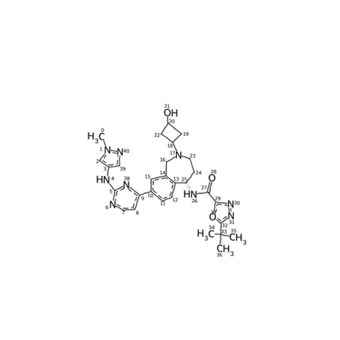 Cn1cc(Nc2nccc(-c3ccc4c(c3)CN(C3CC(O)C3)CC[C@@H]4NC(=O)c3nnc(C(C)(C)C)o3)n2)cn1